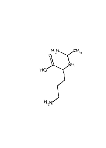 CC(N)NC(CCCN)C(=O)O